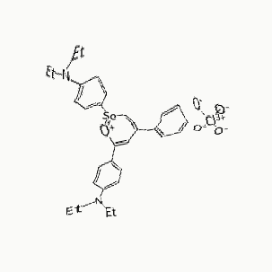 CCN(CC)c1ccc(C2=CC(c3ccccc3)=C[Se](c3ccc(N(CC)CC)cc3)=[O+]2)cc1.[O-][Cl+3]([O-])([O-])[O-]